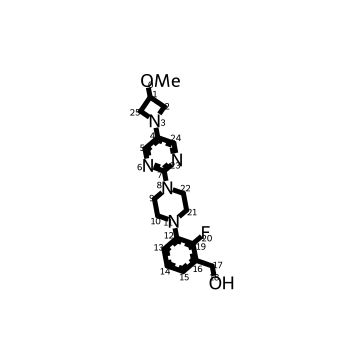 COC1CN(c2cnc(N3CCN(c4cccc(CO)c4F)CC3)nc2)C1